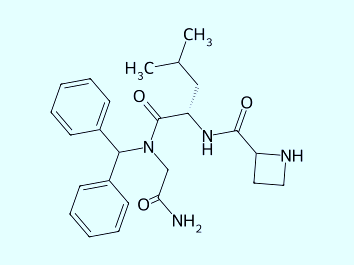 CC(C)C[C@H](NC(=O)C1CCN1)C(=O)N(CC(N)=O)C(c1ccccc1)c1ccccc1